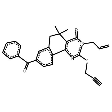 C#CCSc1nc2c(c(=O)n1CC=C)C(C)(C)Cc1cc(C(=O)c3ccccc3)ccc1-2